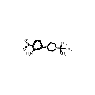 CC(C)(C)N1CCN(c2ccc([N+](=O)[O-])c(N)c2)CC1